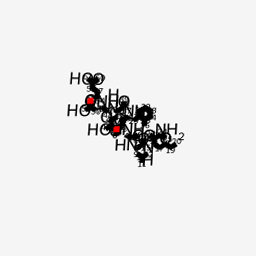 C=CC(NCC(=O)N[C@@H](CC(C)C)C(=O)NC(CCCC)C(=O)C(N)=O)C(=O)[C@H](Cc1ccccc1C)NC(=O)[C@H](CCC(=O)O)NC(=O)[C@H](CC(=O)O)NC(=O)CCC(=O)O